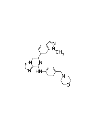 Cn1ncc2ccc(-c3cn4ccnc4c(Nc4ccc(CN5CCOCC5)cc4)n3)cc21